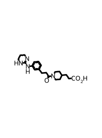 O=C(O)CCC1CCN(C(=O)CCc2cccc(NC3=NCCCN3)c2)CC1